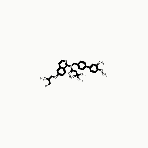 COc1ccc(-c2ccc(CN(C(=O)CC(C)(C)C)c3nccc4cc(OCC(C)CO)ccc34)cc2)cc1C